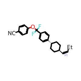 CC/C=C\[C@H]1CC[C@H](c2ccc(C(F)(F)Oc3ccc(C#N)cc3)cc2)CC1